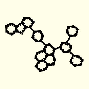 c1ccc(-c2cc(-c3ccccc3)cc(-c3cc(-c4ccc(-c5cccc6c5sc5ccccc56)cc4)c4ccc5cccc6ccc3c4c56)c2)cc1